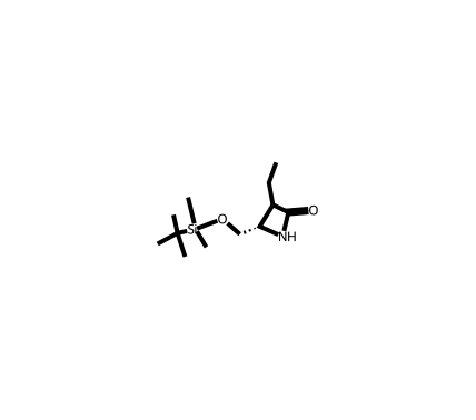 CCC1C(=O)N[C@@H]1CO[Si](C)(C)C(C)(C)C